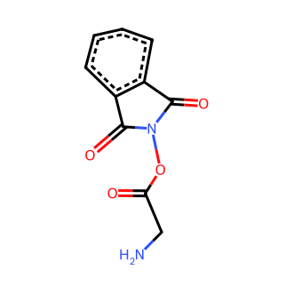 NCC(=O)ON1C(=O)c2ccccc2C1=O